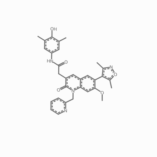 COc1cc2c(cc1-c1c(C)noc1C)cc(CC(=O)Nc1cc(C)c(O)c(C)c1)c(=O)n2Cc1ccccn1